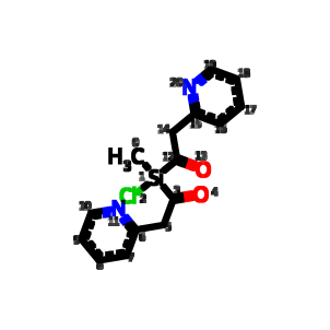 C[Si](Cl)(C(=O)Cc1ccccn1)C(=O)Cc1ccccn1